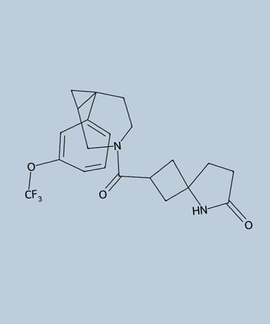 O=C1CCC2(CC(C(=O)N3CCC4(c5cccc(OC(F)(F)F)c5)CC4C3)C2)N1